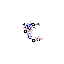 Cc1ccc(Nc2c3c(=O)n(C4CC4)c(=O)n(-c4cccc(NCC5CCN(c6cccc(C7CCC(=O)NC7=O)c6)CC5)c4)c3c(C)c(=O)n2C)c(F)c1